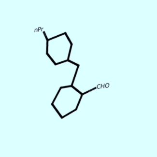 CCCC1CCC(CC2CCCCC2C=O)CC1